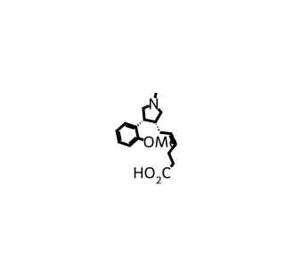 COc1ccccc1[C@@H]1CN(C)C[C@@H]1C/C=C\CCC(=O)O